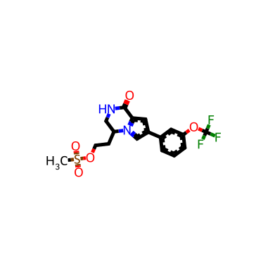 CS(=O)(=O)OCCC1CNC(=O)c2cc(-c3cccc(OC(F)(F)F)c3)cn21